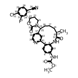 COC(=O)Nc1ccc2c(c1)NC(=O)[C@H](C)CCC[C@H](N1CC[C@@H](c3c(C#N)ccc(Cl)c3F)OC1=O)c1ccnc-2c1